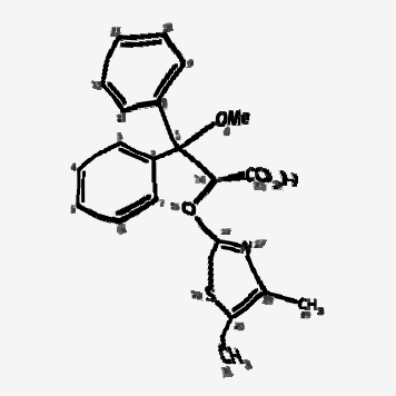 COC(c1ccccc1)(c1ccccc1)[C@H](Oc1nc(C)c(C)s1)C(=O)O